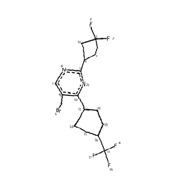 FC1(F)CC(c2ncc(Br)c(C3CCC(C(F)(F)F)CC3)n2)C1